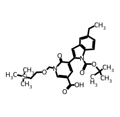 CCc1ccc2c(c1)cc(-c1cc(C(=O)O)cn(COCC[Si](C)(C)C)c1=O)n2C(=O)OC(C)(C)C